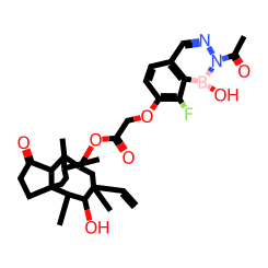 C=CC1(C)CC(OC(=O)COc2ccc3c(c2F)B(O)N(C(C)=O)N=C3)C2(C)C(C)CCC3(CCC(=O)C32)C(C)C1O